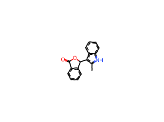 Cc1[nH]c2ccccc2c1C1OC(=O)c2ccccc21